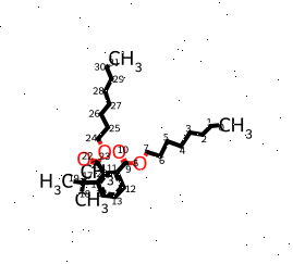 CCCCCCCCOC(=O)c1cccc(C(C)(C)C)c1C(=O)OCCCCCCCC